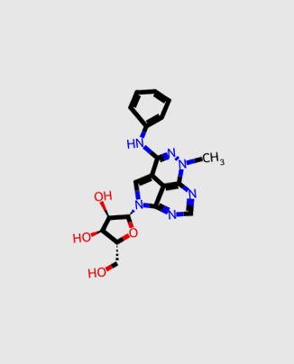 CN1N=C(Nc2ccccc2)c2cn([C@@H]3O[C@H](CO)[C@@H](O)[C@H]3O)c3ncnc1c23